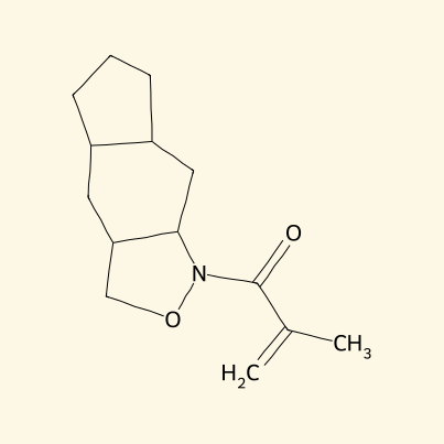 C=C(C)C(=O)N1OCC2CC3CCCC3CC21